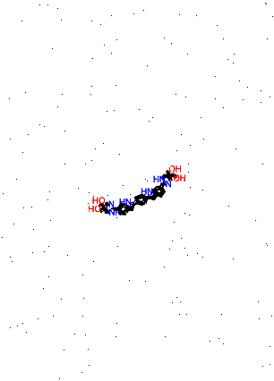 OCC1(CO)CN=C(c2ccc3cc(-c4ccc(-c5cc6ccc(C7=NCC(CO)(CO)CN7)cc6[nH]5)cc4)[nH]c3c2)NC1